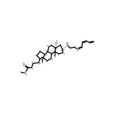 C=C/C=C\C=N/CCN[C@@H]1CCC2(C)C3CCC4(C)C(CCCC(=O)OC)CCC4C3CC[C@H]2C1